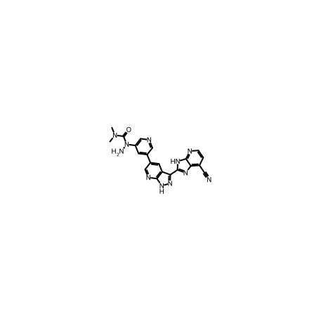 CN(C)C(=O)N(N)c1cncc(-c2cnc3[nH]nc(-c4nc5c(C#N)ccnc5[nH]4)c3c2)c1